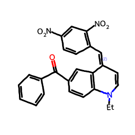 CCN1C=C/C(=C/c2ccc([N+](=O)[O-])cc2[N+](=O)[O-])c2cc(C(=O)c3ccccc3)ccc21